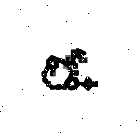 N#CC1(NC(=O)[C@@H]2Cc3ccc(c(Cl)c3)OCCCCOc3ccc(C4CNC4)cc3C(=O)N2)CC1